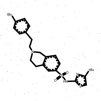 CC(C)(C)c1ccc(CCN2CCc3cc(S(=O)(=O)Nc4nc(C(C)(C)C)cs4)ccc3C2)cc1